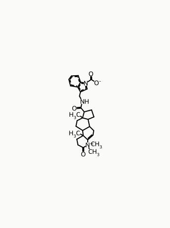 CC12CCC(=O)[N+](C)(C)C1=CCC1C2CCC2(C)C(C(=O)NCc3cn(C(=O)[O-])c4ccccc34)CCC12